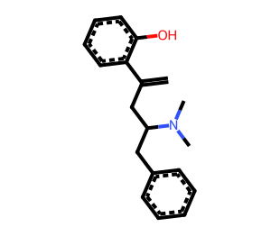 C=C(CC(Cc1ccccc1)N(C)C)c1ccccc1O